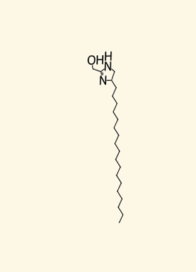 CCCCCCCCCCCCCCCCCCC1CNC(CO)=N1